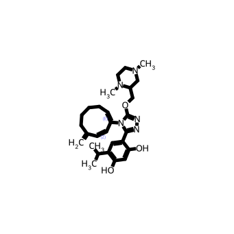 C=C1/C=C\C(n2c(OCC3CN(C)CCN3C)nnc2-c2cc(C(C)C)c(O)cc2O)=C/CCCC1